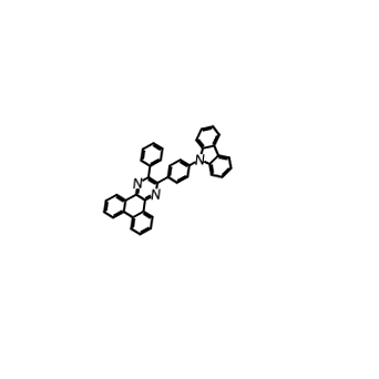 c1ccc(-c2nc3c4ccccc4c4ccccc4c3nc2-c2ccc(-n3c4ccccc4c4ccccc43)cc2)cc1